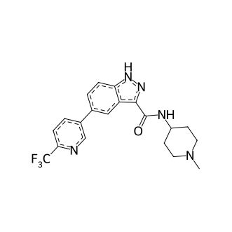 CN1CCC(NC(=O)c2n[nH]c3ccc(-c4ccc(C(F)(F)F)nc4)cc23)CC1